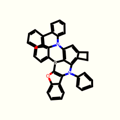 c1ccc(-c2ccccc2N2c3ccccc3B3c4oc5ccccc5c4N(c4ccccc4)c4c5c(cc2c43)CC5)cc1